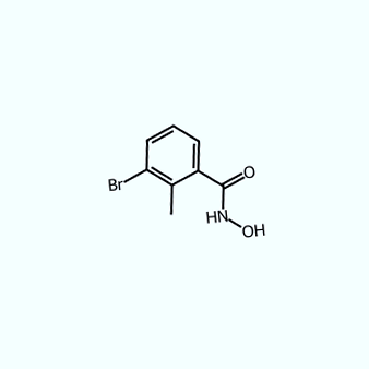 Cc1c(Br)cccc1C(=O)NO